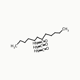 CCCCCCCCCCCC.N=C=O.N=C=O.N=C=O